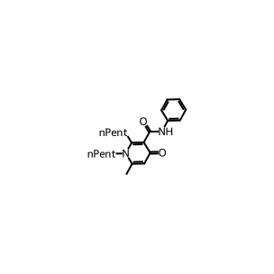 CCCCCc1c(C(=O)Nc2ccccc2)c(=O)cc(C)n1CCCCC